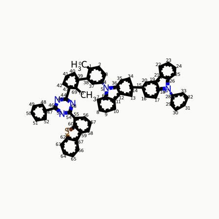 Cc1ccc(-n2c3ccccc3c3cc(-c4ccc5c(c4)c4ccccc4n5-c4ccccc4)ccc32)cc1-c1cccc(-c2nc(-c3ccccc3)nc(-c3cccc4c3sc3ccccc34)n2)c1C